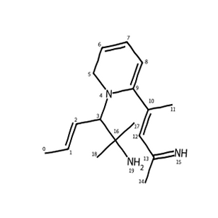 CC=CC(N1CC=CC=C1/C(C)=C/C(C)=N)C(C)(C)N